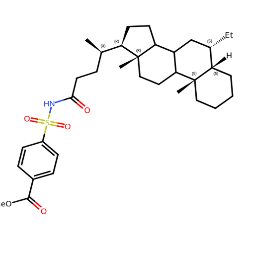 CC[C@H]1CC2C3CC[C@H]([C@H](C)CCC(=O)NS(=O)(=O)c4ccc(C(=O)OC)cc4)[C@@]3(C)CCC2[C@@]2(C)CCCC[C@@H]12